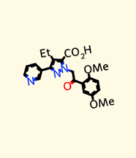 CCc1c(-c2cccnc2)nn(CC(=O)c2cc(OC)ccc2OC)c1C(=O)O